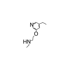 CCNCCOc1cncc(CC)c1